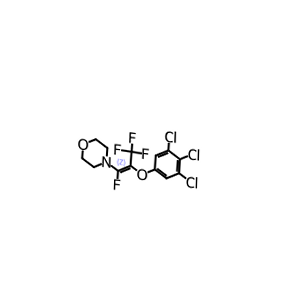 F/C(=C(\Oc1cc(Cl)c(Cl)c(Cl)c1)C(F)(F)F)N1CCOCC1